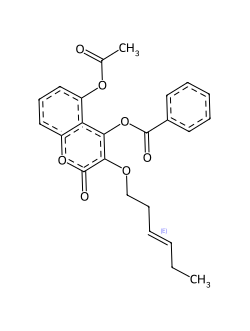 CC/C=C/CCOc1c(OC(=O)c2ccccc2)c2c(OC(C)=O)cccc2oc1=O